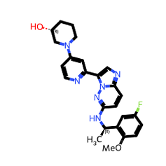 COc1ccc(F)cc1[C@@H](C)Nc1ccc2ncc(-c3cc(N4CCC[C@@H](O)C4)ccn3)n2n1